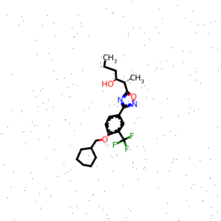 CCC[C@H](O)[C@H](C)c1nc(-c2ccc(OCC3CCCCC3)c(C(F)(F)F)c2)no1